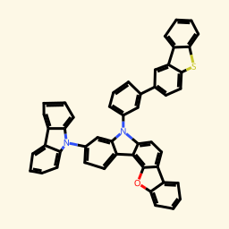 c1cc(-c2ccc3sc4ccccc4c3c2)cc(-n2c3cc(-n4c5ccccc5c5ccccc54)ccc3c3c4oc5ccccc5c4ccc32)c1